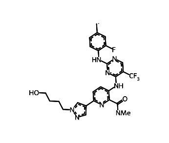 [CH2]c1ccc(Nc2ncc(C(F)(F)F)c(Nc3ccc(-c4cnn(CCCCO)c4)nc3C(=O)NC)n2)c(F)c1